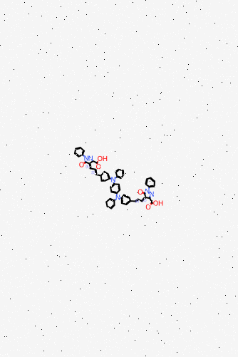 O=C(O)C1=NN(c2ccccc2)C(=O)/C1=C\C=C\c1ccc(N(C2=CCCC=C2)c2ccc(N(C3=CCC(/C=C/C=C4/C(=O)N(c5ccccc5)N=C4C(=O)O)C=C3)c3ccccc3)cc2)cc1